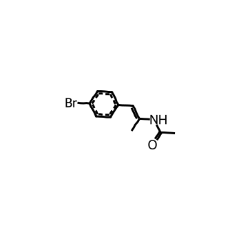 CC(=O)N/C(C)=C/c1ccc(Br)cc1